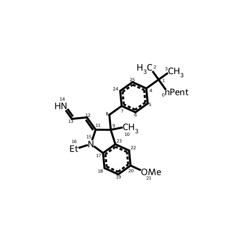 CCCCCC(C)(C)c1ccc(CC2(C)/C(=C/C=N)N(CC)c3ccc(OC)cc32)cc1